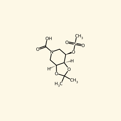 CC1(C)O[C@H]2[C@H](CN(C(=O)O)C[C@H]2OS(C)(=O)=O)O1